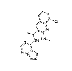 CNc1nc2c(Cl)cccc2cc1[C@H](C)Nc1ncnn2cccc12